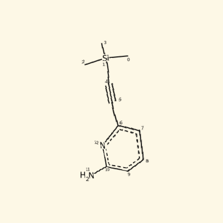 C[Si](C)(C)C#Cc1cccc(N)n1